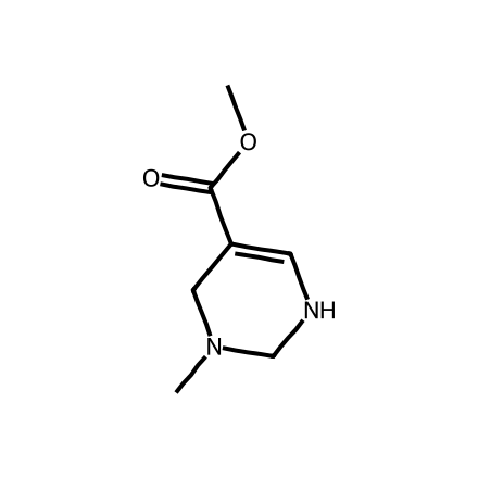 COC(=O)C1=CNCN(C)C1